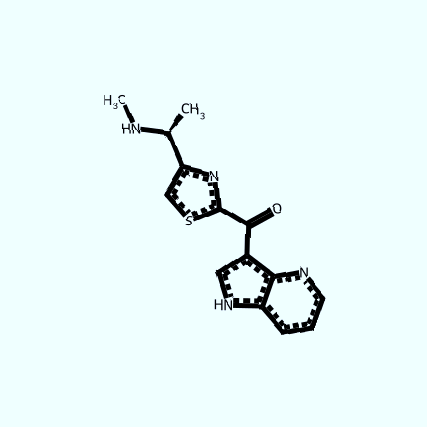 CN[C@@H](C)c1csc(C(=O)c2c[nH]c3cccnc23)n1